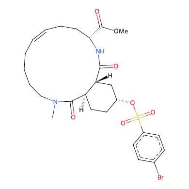 COC(=O)[C@H]1CCC=CCCCCN(C)C(=O)[C@@H]2CC[C@@H](OS(=O)(=O)c3ccc(Br)cc3)C[C@H]2C(=O)N1